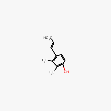 O=C(O)C=Cc1ccc(O)c(C(F)(F)F)c1C(F)(F)F